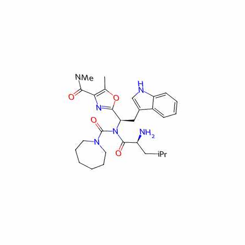 CNC(=O)c1nc([C@@H](Cc2c[nH]c3ccccc23)N(C(=O)[C@@H](N)CC(C)C)C(=O)N2CCCCCC2)oc1C